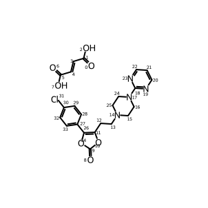 O=C(O)C=CC(=O)O.O=c1oc(CCN2CCN(c3ncccn3)CC2)c(-c2ccc(Cl)cc2)o1